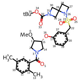 CO[C@@H]1CN(C(=O)c2cc(C)ccc2C)C[C@H]1Oc1cccc(CS(=O)(=O)N2CCC23CN(C(=O)OC(C)(C)C)C3)c1